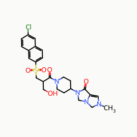 CN1C=C2C(=O)N(C3CCN(C(=O)C(CO)CS(=O)(=O)c4ccc5cc(Cl)ccc5c4)CC3)CN2C1